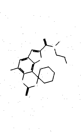 C=C1Nc2c(Cl)cc3cc(C(=O)N(CCOC)C(C)C)oc3c2C2(CCCCC2)N1